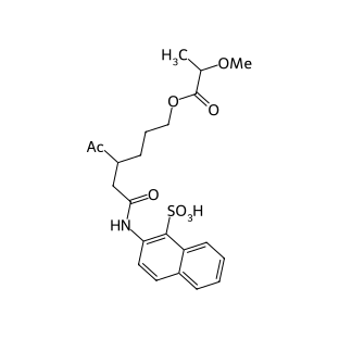 COC(C)C(=O)OCCCC(CC(=O)Nc1ccc2ccccc2c1S(=O)(=O)O)C(C)=O